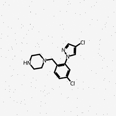 Clc1ccc(CN2CCNCC2)c(-n2cc(Cl)cn2)c1